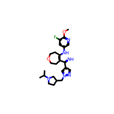 COc1ncc(NC2=C(C(=N)c3cnn(CC4CCN(C(C)C)C4)c3)CCOCC2)cc1F